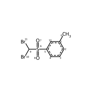 Cc1cccc(S(=O)(=O)C(Br)Br)c1